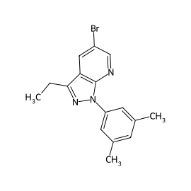 CCc1nn(-c2cc(C)cc(C)c2)c2ncc(Br)cc12